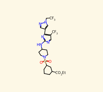 CCOC(=O)C1CCCC(S(=O)(=O)N2CCC(Nc3ncc(C(F)(F)F)c(-c4cnn(CC(F)(F)F)c4)n3)CC2)C1